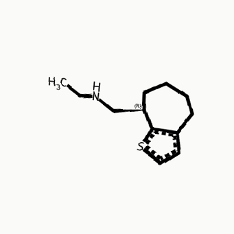 CCNC[C@H]1CCCCc2ccsc21